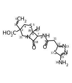 C=CC1(C(=O)O)CS[C@@H]2C(NC(=O)Cc3nnc(N)s3)C(=O)N2C1